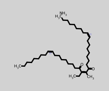 CCCCCCCC/C=C\CCCCCCCC(=O)C(C)=C(CC)C(=O)CCCCCCC/C=C\CCCCCCCC.N